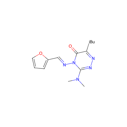 CCC(C)c1nnc(N(C)C)n(N=Cc2ccco2)c1=O